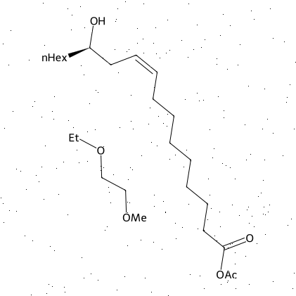 CCCCCC[C@@H](O)C/C=C\CCCCCCCC(=O)OC(C)=O.CCOCCOC